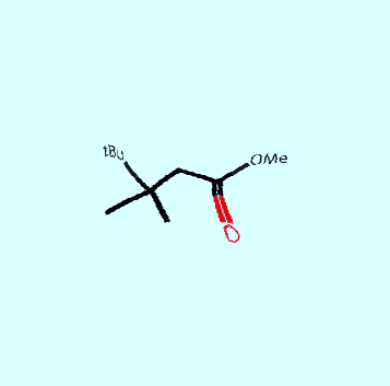 COC(=O)CC(C)(C)C(C)(C)C